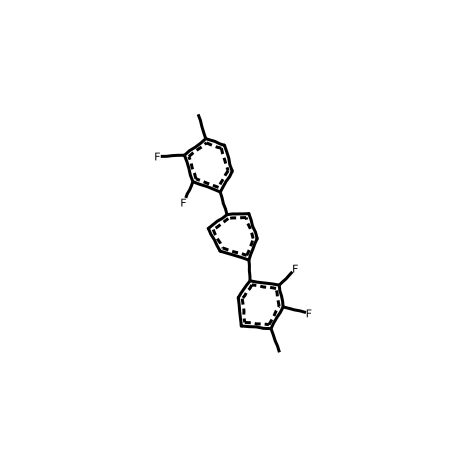 Cc1ccc(-c2ccc(-c3ccc(C)c(F)c3F)cc2)c(F)c1F